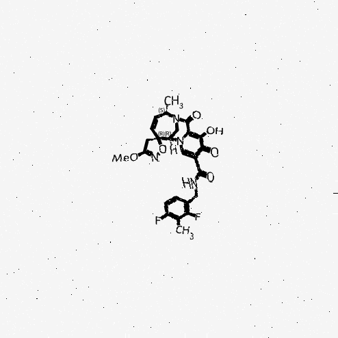 COC1=NO[C@@]2(C=C[C@H](C)N3C[C@H]2n2cc(C(=O)NCc4ccc(F)c(C)c4F)c(=O)c(O)c2C3=O)C1